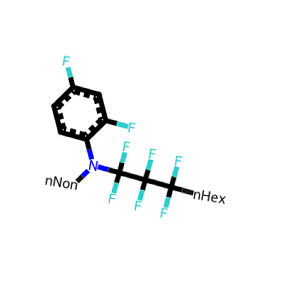 CCCCCCCCCN(c1ccc(F)cc1F)C(F)(F)C(F)(F)C(F)(F)CCCCCC